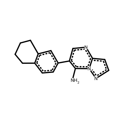 Nc1c(-c2ccc3c(c2)CCCC3)cnc2ccnn12